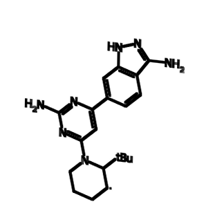 CC(C)(C)C1[CH]CCCN1c1cc(-c2ccc3c(N)n[nH]c3c2)nc(N)n1